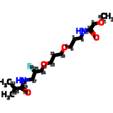 COCC(=O)NCCCOCCCOCC(F)CNC(=O)C(C)C